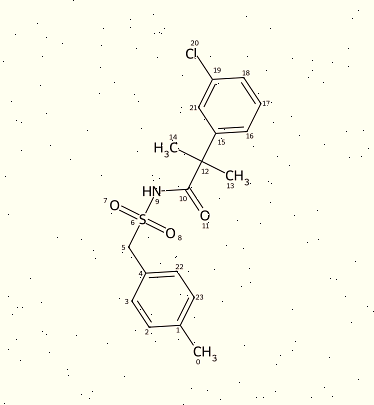 Cc1ccc(CS(=O)(=O)NC(=O)C(C)(C)c2cccc(Cl)c2)cc1